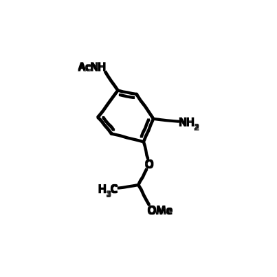 COC(C)Oc1ccc(NC(C)=O)cc1N